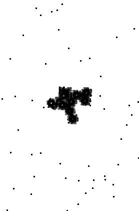 Cc1ccccc1C(C)(C)c1ccc(N(c2ccc(-c3ccccc3)cc2)c2ccc(-c3cccc(-n4c5ccccc5c5ccccc54)c3)cc2)cc1[C@@H](C)[C@H]1C[C@@H]2C[C@H](C)C[C@@H](C2)C1